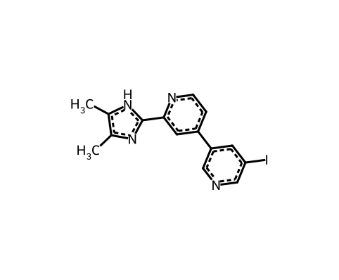 Cc1nc(-c2cc(-c3cncc(I)c3)ccn2)[nH]c1C